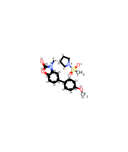 CS(=O)(=O)N1CC[C@@H](Cn2c(=O)oc3ccc(-c4ccc(OC(F)(F)F)cc4)cc32)C1